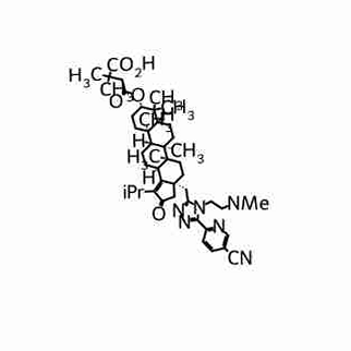 CNCCn1c(C[C@@]23CC[C@]4(C)[C@H](CC[C@@H]5[C@@]6(C)CC[C@H](OC(=O)CC(C)(C)C(=O)O)C(C)(C)[C@@H]6CC[C@]54C)C2=C(C(C)C)C(=O)C3)nnc1-c1ccc(C#N)cn1